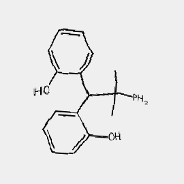 CC(C)(P)C(c1ccccc1O)c1ccccc1O